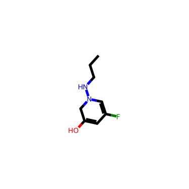 CCCNN1C=C(F)C=C(O)C1